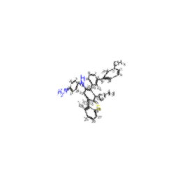 CC1C=CC=C(c2cccc(C3=C(Nc4ccc(N)cc4)C=C4c5ccccc5SC4C3C)c2)C1